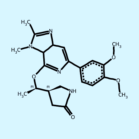 COc1ccc(C2=CC3N=C(C)N(C)C3C(O[C@H](C)[C@H]3CNC(=O)C3)=N2)cc1OC